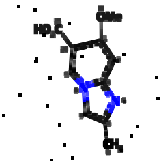 COc1cc2nc(C)cn2cc1C(=O)O